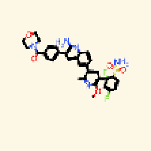 COc1nc(C)c(-c2ccc3nc(N)c(-c4ccc(C(=O)N5CCOCC5)cc4)cc3c2)cc1C1(F)C=C(F)C=CC1S(N)(=O)=O